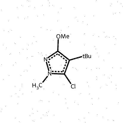 COc1nn(C)c(Cl)c1C(C)(C)C